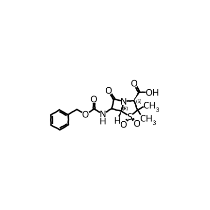 CC1(C)[C@H](C(=O)O)N2C(=O)C(NC(=O)OCc3ccccc3)[C@H]2S1(=O)=O